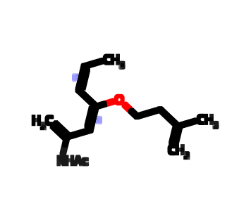 C=C(C)CCOC(/C=C\C)=C/C(=C)NC(C)=O